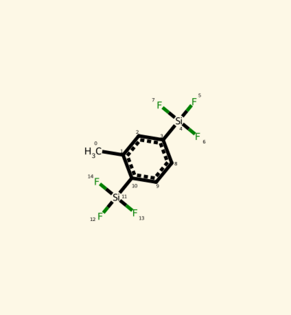 Cc1cc([Si](F)(F)F)ccc1[Si](F)(F)F